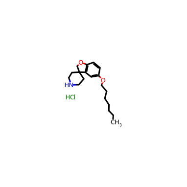 CCCCCCCOc1ccc2c(c1)C1(CCNCC1)CO2.Cl